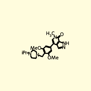 COc1cc(-c2cn(C)c(=O)c3[nH]ncc23)cc(OC)c1CN1CCN(C(C)C)CC1